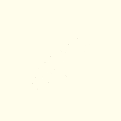 NS(=O)(=O)c1cc(NC(=O)Cc2ccccc2Cl)cc2cnc(N3CCCCC3)cc12